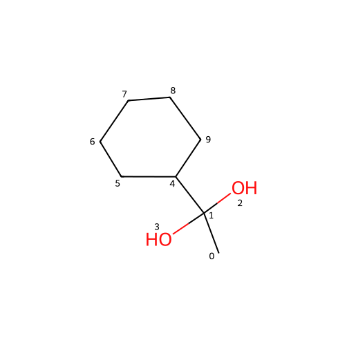 CC(O)(O)C1CCCCC1